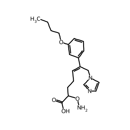 CCCCOc1cccc(C(=CCCC(ON)C(=O)O)Cn2ccnc2)c1